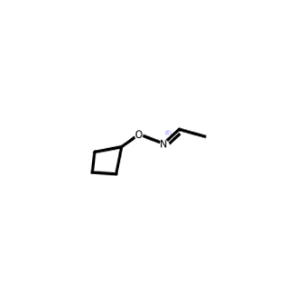 C/C=N/OC1CCC1